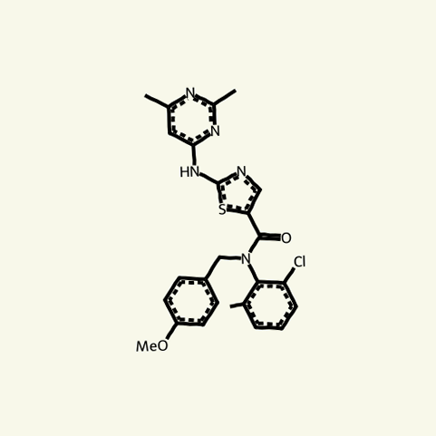 COc1ccc(CN(C(=O)c2cnc(Nc3cc(C)nc(C)n3)s2)c2c(C)cccc2Cl)cc1